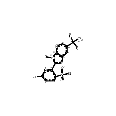 CCS(=O)(=O)c1ccc(F)nc1-c1nc2cc(C(F)(F)C(F)(F)F)cnc2n1C